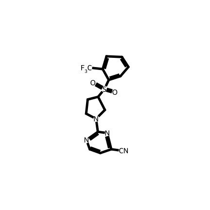 N#Cc1ccnc(N2CCC(S(=O)(=O)c3ccccc3C(F)(F)F)C2)n1